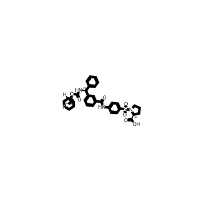 O=C(N[C@@H](c1ccccc1)c1cccc(C(=O)Nc2ccc(S(=O)(=O)N3CCC[C@H]3C(=O)O)cc2)c1)O[C@H]1CN2CCC1CC2